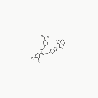 CC(=O)N1CCC(OC(=O)N(CCCN2CC3CN(C(=O)c4cc(F)cc5c4OCOC5)CC3C2)c2ccc(C)c(Cl)c2)CC1